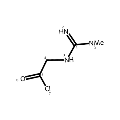 CNC(=N)NCC(=O)Cl